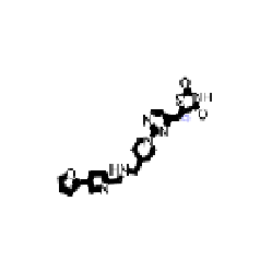 O=C1NC(=O)/C(=C/c2ccnc(N3CCC(CNCc4ccc(-c5ccco5)cn4)CC3)n2)S1